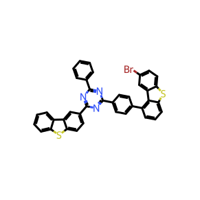 Brc1ccc2sc3cccc(-c4ccc(-c5nc(-c6ccccc6)nc(-c6ccc7sc8ccccc8c7c6)n5)cc4)c3c2c1